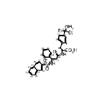 CCC(N)(CC)c1ccc(CC(NC(=O)CC(NS(=O)(=O)c2ccc3ccccc3c2)c2ccccc2)C(=O)O)cc1